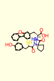 O=C(NC1(C(=O)N[C@@H](Cc2ccc3c(c2)oc2ccccc23)C(=O)O)CCCC1)C(S)Cc1ccc(O)cc1